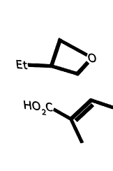 CC=C(C)C(=O)O.CCC1COC1